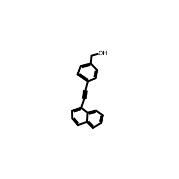 OCc1ccc(C#Cc2cccc3ccccc23)cc1